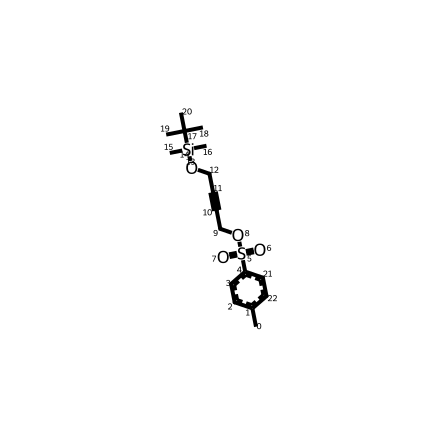 Cc1ccc(S(=O)(=O)OCC#CCO[Si](C)(C)C(C)(C)C)cc1